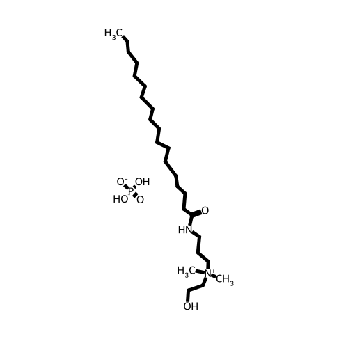 CCCCCCCCCCCCCCCCCC(=O)NCCC[N+](C)(C)CCO.O=P([O-])(O)O